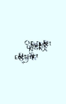 CC[Si](CC)(CC)O[C@H](CCN1CCC2(CC2)[C@H](O[Si](CC)(CC)CC)C1)CN(C[C@@H](CCN1CCC2(CC2)[C@H](O[Si](CC)(CC)CC)C1)O[Si](CC)(CC)CC)C(=O)OCc1ccccc1